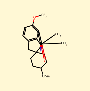 COC1CCC2(CC1)Cc1ccc(OC(F)(F)F)cc1C21NC(C)(C)NC1=O